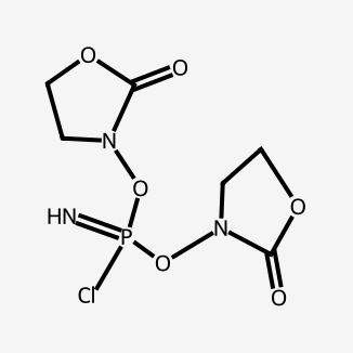 N=P(Cl)(ON1CCOC1=O)ON1CCOC1=O